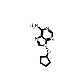 Nc1ncnc2c1ncn2OC1CCCC1